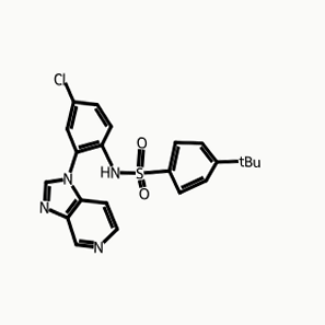 CC(C)(C)c1ccc(S(=O)(=O)Nc2ccc(Cl)cc2-n2cnc3cnccc32)cc1